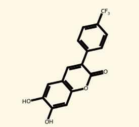 O=c1oc2cc(O)c(O)cc2cc1-c1ccc(C(F)(F)F)cc1